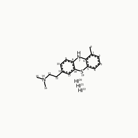 Cc1cccc2c1Nc1ccc(CCN(C)C)cc1S2.I.I.I